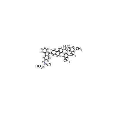 Cc1ccc(C(=Cc2ccc3c(ccc4cc(C5c6ccccc6-c6cc(/C=C(\C#N)C(=O)O)ccc65)ccc43)c2)c2ccc(C)cc2C)c(C)c1